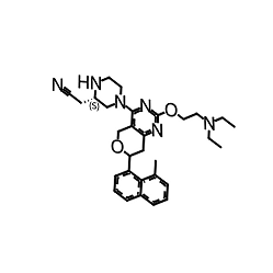 CCN(CC)CCOc1nc2c(c(N3CCN[C@@H](CC#N)C3)n1)COC(c1cccc3cccc(C)c13)C2